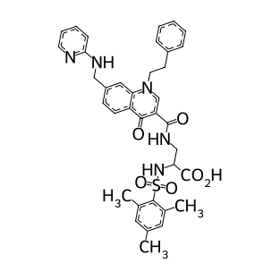 Cc1cc(C)c(S(=O)(=O)NC(CNC(=O)c2cn(CCc3ccccc3)c3cc(CNc4ccccn4)ccc3c2=O)C(=O)O)c(C)c1